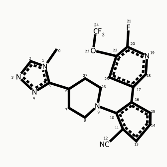 Cn1cnnc1C1CCN(c2c(C#N)cccc2-c2cnc(F)c(OC(F)(F)F)c2)CC1